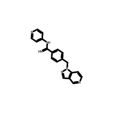 N=C(Nc1ccncc1)c1ccc(Cn2ncc3cnccc32)cc1